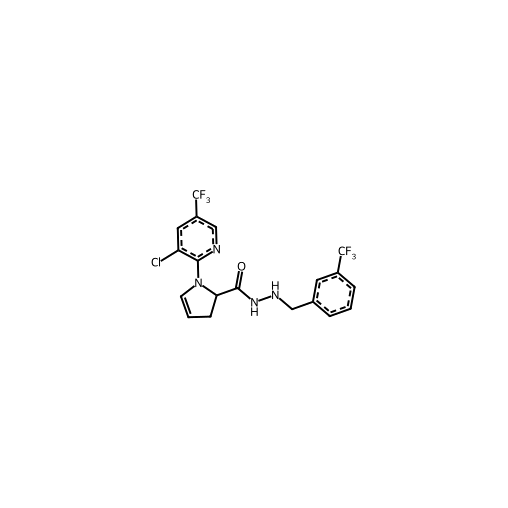 O=C(NNCc1cccc(C(F)(F)F)c1)C1CC=CN1c1ncc(C(F)(F)F)cc1Cl